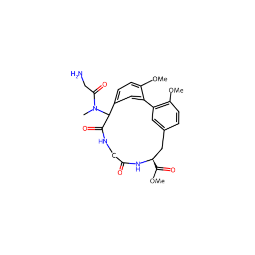 COC(=O)[C@@H]1Cc2ccc(OC)c(c2)-c2cc(ccc2OC)C(N(C)C(=O)CN)C(=O)NCC(=O)N1